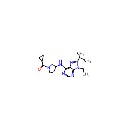 CCn1c(C(C)C)nc2c(NC3CCN(C(=O)C4CC4)C3)ncnc21